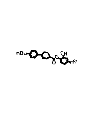 CCCCc1ccc(C2CCC(C(=O)Oc3ccc(CCC)cc3C#N)CC2)cc1